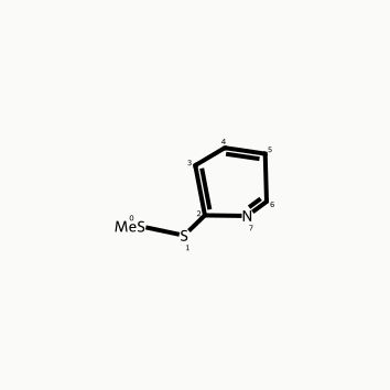 CSSc1ccccn1